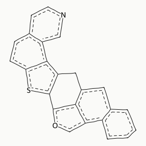 c1ccc2c(c1)cc1c3c(occ32)-c2sc3ccc4ccncc4c3c2C1